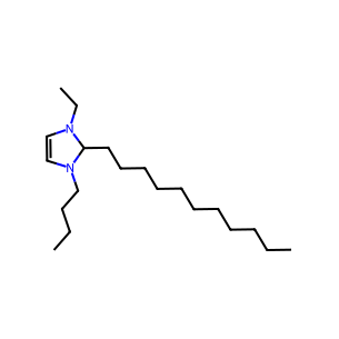 CCCCCCCCCCCC1N(CC)C=CN1CCCC